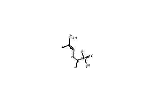 CC(=CCC(C)P(=O)(O)O)C(=O)O